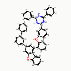 c1ccc(-c2cccc(-c3cc(-c4cccc5c4oc4cc(-c6nc(-c7ccccc7)nc(-c7ccccc7)n6)ccc45)c4c(c3)oc3ccccc34)c2)cc1